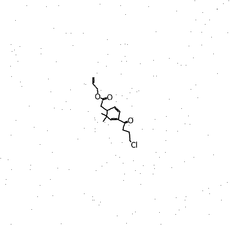 C=CCOC(=O)CC1C=CC(C(=O)CCCCl)=CC1(C)C